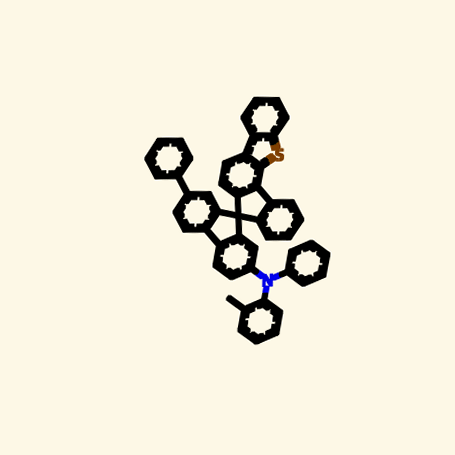 Cc1ccccc1N(c1ccccc1)c1ccc2c(c1)C1(c3cc(-c4ccccc4)ccc3-2)c2ccccc2-c2c1ccc1c2sc2ccccc21